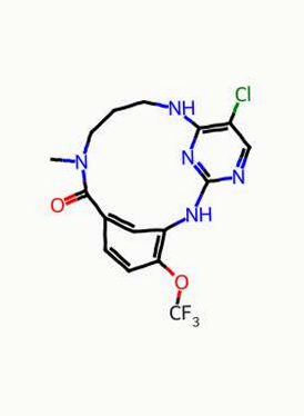 CN1CCCNc2nc(ncc2Cl)Nc2cc(ccc2OC(F)(F)F)C1=O